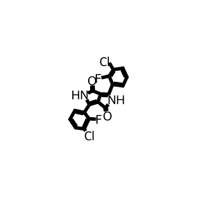 O=C1NC(c2cccc(Cl)c2F)=C2C(=O)NC(c3cccc(Cl)c3F)=C12